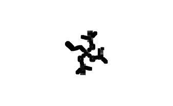 C=CC[Si](O[SiH](C)C)(O[SiH](C)C)O[SiH](C)C